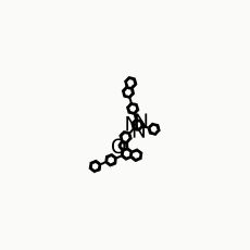 c1ccc(-c2ccc(-c3cc4ccccc4c4c3oc3ccc(-c5nc(-c6ccccc6)nc(-c6ccc(-c7ccc8ccccc8c7)cc6)n5)cc34)cc2)cc1